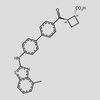 Cc1cccc2sc(Nc3ccc(-c4ccc(C(=O)[C@@H]5CC[C@H]5C(=O)O)cc4)cc3)nc12